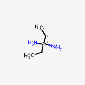 C[CH2][Sn]([NH2])([NH2])[CH2]C